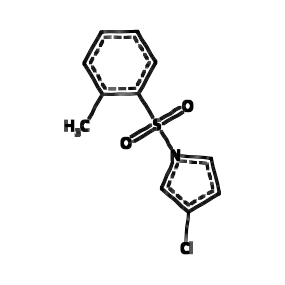 Cc1ccccc1S(=O)(=O)n1ccc(Cl)c1